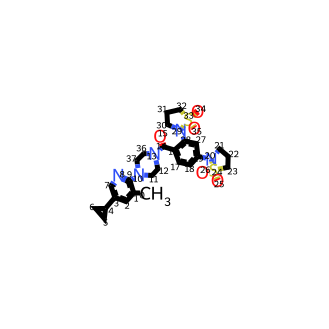 Cc1cc(C2CC2)cnc1N1CCN(C(=O)c2ccc(N3CCCS3(=O)=O)cc2N2CCCS2(=O)=O)CC1